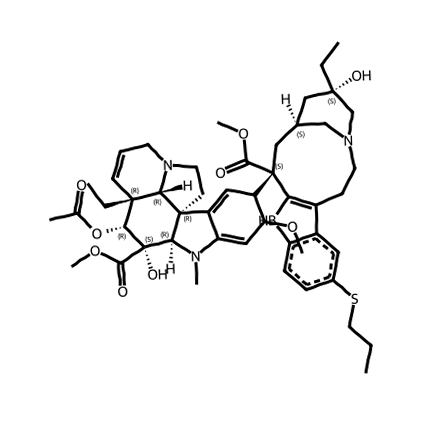 CCCSc1ccc2c(c1)C1=C(B2)[C@@](C(=O)OC)(C2C=C3C(=CC2OC)N(C)[C@H]2[C@@](O)(C(=O)OC)[C@H](OC(C)=O)[C@]4(CC)C=CCN5CC[C@]32[C@@H]54)C[C@@H]2CN(CC1)C[C@](O)(CC)C2